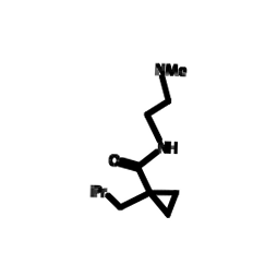 CNCCNC(=O)C1(CC(C)C)CC1